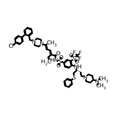 C=C/C(=C\C=C(/C)N1CCN(Cc2ccccc2-c2ccc(Cl)cc2)CC1)C(=O)NS(=O)(=O)c1ccc(N[C@H](CCN2CCC(N(C)C)CC2)CSc2ccccc2)c(S(=O)(=O)C(F)(F)F)c1